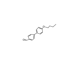 CCCCOc1ccc(-c2ccc(C=O)cc2)cc1